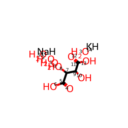 O.O.O.O.O=C(O)C(O)C(O)C(=O)O.[KH].[NaH]